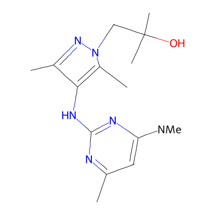 CNc1cc(C)nc(Nc2c(C)nn(CC(C)(C)O)c2C)n1